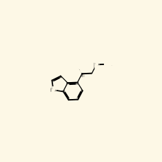 CC(C)(C)NC[C@H](O)c1cccc2[nH]ccc12